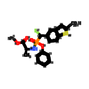 CCCOC(=O)[C@H](C)NP(=O)(Oc1ccccc1)[C@@H](F)c1ccc2sc(C(=O)O)cc2c1